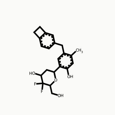 Cc1cc(O)c(C2CC(O)C(F)(F)C(CO)O2)cc1Cc1ccc2c(c1)CC2